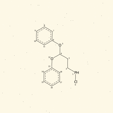 ClPCCC(Oc1ccccc1)Oc1ccccc1